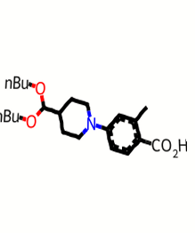 CCCCOC(OCCCC)C1CCN(c2ccc(C(=O)O)c(C)c2)CC1